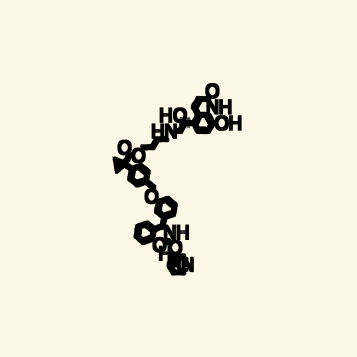 O=C(NC(c1ccccc1)c1cccc(OCc2ccc(C3(C(=O)OCCCCNC[C@H](O)c4ccc(O)c5[nH]c(=O)ccc45)CC3)cc2)c1)O[C@H]1CN2CCC1CC2